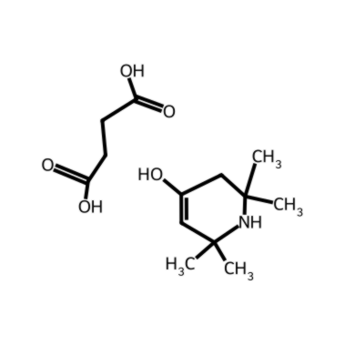 CC1(C)C=C(O)CC(C)(C)N1.O=C(O)CCC(=O)O